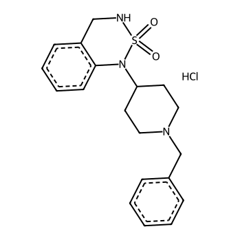 Cl.O=S1(=O)NCc2ccccc2N1C1CCN(Cc2ccccc2)CC1